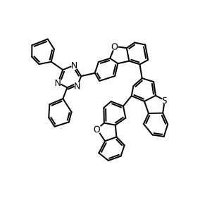 c1ccc(-c2nc(-c3ccccc3)nc(-c3ccc4c(c3)oc3cccc(-c5cc(-c6ccc7oc8ccccc8c7c6)c6c(c5)sc5ccccc56)c34)n2)cc1